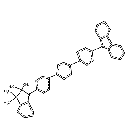 CC1(C)c2ccccc2N(c2ccc(-c3ccc(-c4ccc(-n5c6ccccc6c6ccccc65)cc4)cc3)cc2)C1(C)C